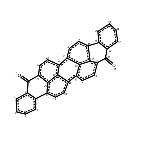 O=C1c2ccccc2-c2ccc3c4ccc5c6c(ccc(c7ccc1c2c73)c64)-c1ccccc1C5=O